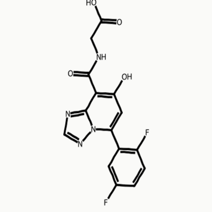 O=C(O)CNC(=O)c1c(O)cc(-c2cc(F)ccc2F)n2ncnc12